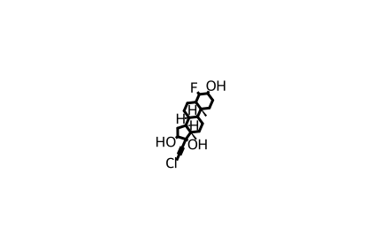 C[C@]12CCC(O)C(F)C1CC[C@@H]1[C@H]2CC[C@@]2(C)[C@H]1CC(O)C2(O)C#CCl